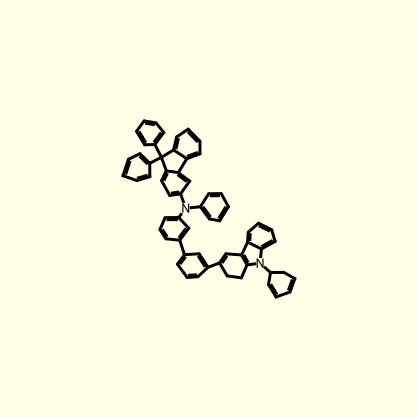 C1=CCC(n2c3c(c4ccccc42)C=C(c2cccc(-c4cccc(N(c5ccccc5)c5ccc6c(c5)-c5ccccc5C6(c5ccccc5)c5ccccc5)c4)c2)CC3)C=C1